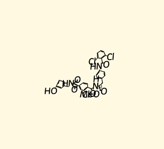 COC(=O)[C@H](Cc1ccc(NC(=O)c2c(Cl)cccc2Cl)cc1)NC(=O)c1ccc(S(=O)(=O)NCc2cccc(O)c2)cc1Cl